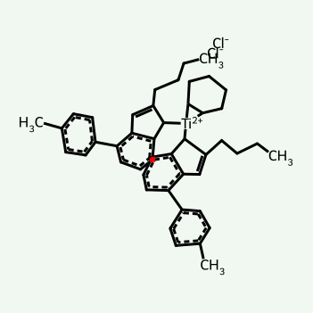 CCCCC1=Cc2c(-c3ccc(C)cc3)cccc2[CH]1[Ti+2]1([CH]2C(CCCC)=Cc3c(-c4ccc(C)cc4)cccc32)[CH]2CCCC[CH]21.[Cl-].[Cl-]